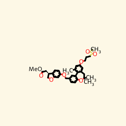 COC(=O)C[C@@H]1COc2cc(OCc3ccc4c(c3)-c3c(C)cc(OCCCS(C)(=O)=O)cc3CC(C)(C)O4)ccc21